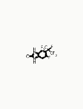 O=c1[nH]c2cc(F)c(C(F)(C(F)(F)F)C(F)(F)F)cc2[nH]1